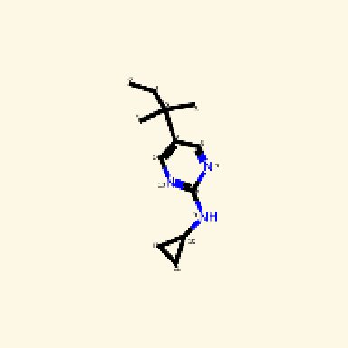 CCC(C)(C)c1cnc(NC2CC2)nc1